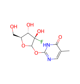 Cc1cnc(OC2O[C@@H](CO)[C@H](O)[C@]2(O)F)[nH]c1=O